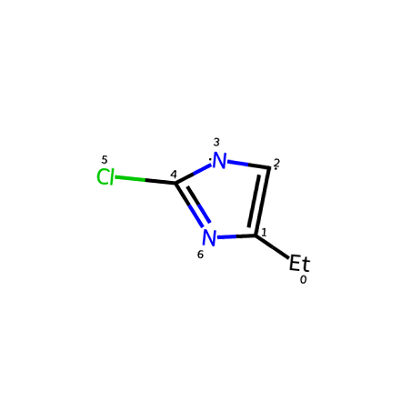 CCC1=[C][N]C(Cl)=N1